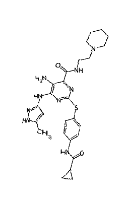 Cc1cc(Nc2nc(Sc3ccc(NC(=O)C4CC4)cc3)nc(C(=O)NCCN3CCCCC3)c2N)n[nH]1